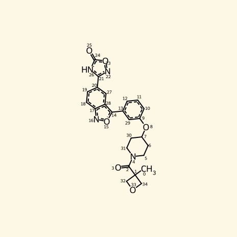 CC1(C(=O)N2CCC(Oc3cccc(-c4onc5ccc(-c6noc(=O)[nH]6)cc45)c3)CC2)COC1